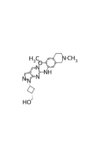 COc1cc2c(cc1Nc1ncc3cnn([C@H]4C[C@@H](CO)C4)c3n1)CN(C)CC2